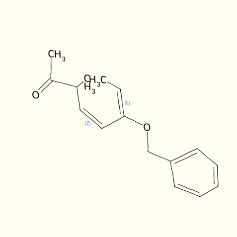 C/C=C(\C=C/C(C)C(C)=O)OCc1ccccc1